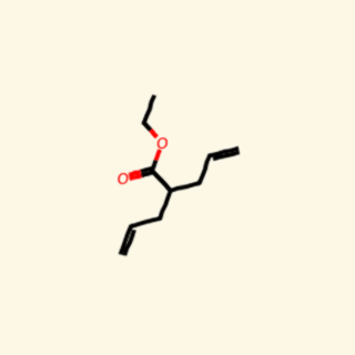 C=CCC(CC=C)C(=O)OCC